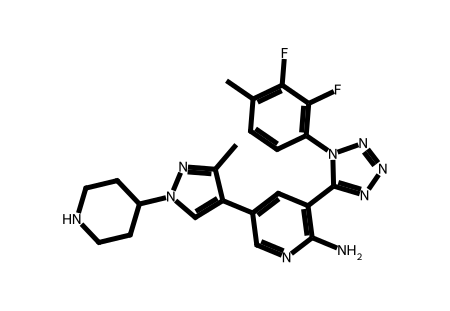 Cc1ccc(-n2nnnc2-c2cc(-c3cn(C4CCNCC4)nc3C)cnc2N)c(F)c1F